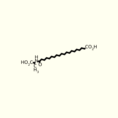 CC(NC(=O)CCCCCCCCCCCCCCCCCCC(=O)O)C(=O)O